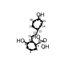 O=P(O)(O)c1cccc(O)c1CCc1ccc(O)cc1